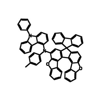 Cc1ccc(N(c2cc3c(c4c2oc2ccccc24)-c2c(ccc4oc5ccccc5c24)C32c3ccccc3-c3ccccc32)c2cccc3c2c2ccccc2n3-c2ccccc2)cc1